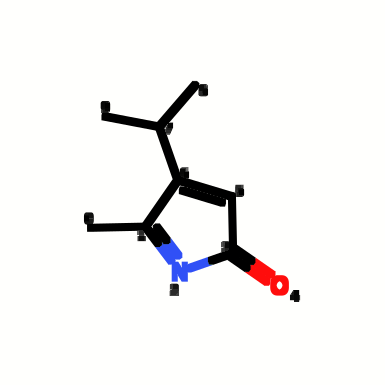 CC1=NC(=O)C=C1C(C)C